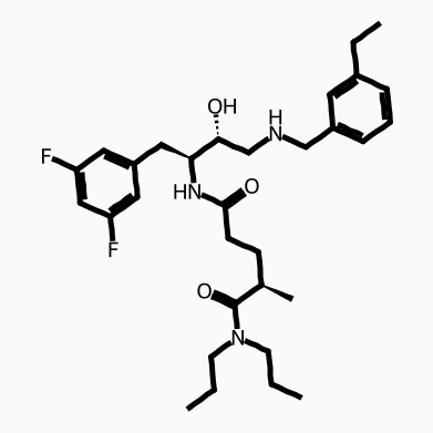 CCCN(CCC)C(=O)[C@H](C)CCC(=O)N[C@@H](Cc1cc(F)cc(F)c1)[C@H](O)CNCc1cccc(CC)c1